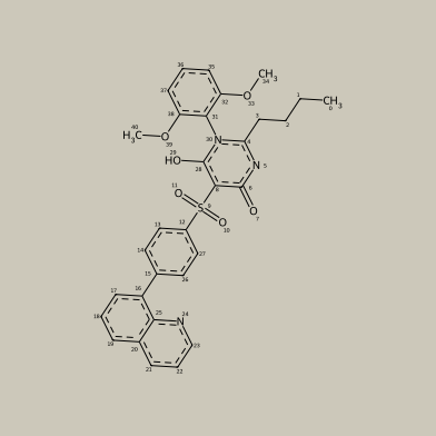 CCCCc1nc(=O)c(S(=O)(=O)c2ccc(-c3cccc4cccnc34)cc2)c(O)n1-c1c(OC)cccc1OC